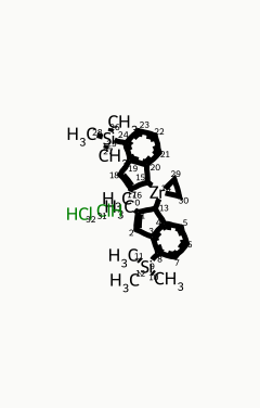 CC1=Cc2c(cccc2[Si](C)(C)C)[CH]1[Zr]1([CH]2C(C)=Cc3c2cccc3[Si](C)(C)C)[CH2][CH2]1.Cl.Cl